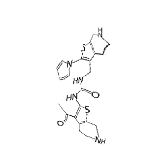 CC(=O)c1c(NC(=O)NCc2c(-n3cccc3)sc3c2CCNC3)sc2c1CCNC2